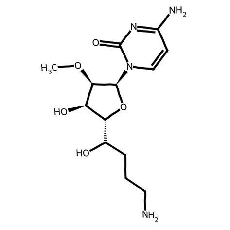 CO[C@@H]1[C@H](O)[C@@H](C(O)CCCN)O[C@@H]1n1ccc(N)nc1=O